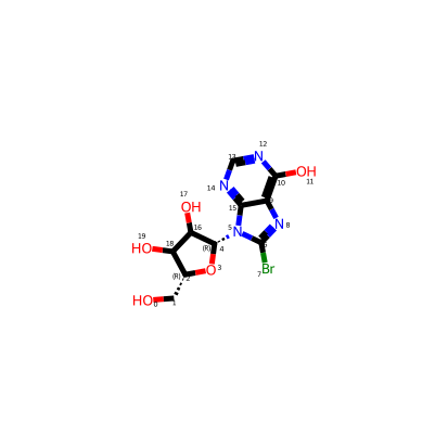 OC[C@H]1O[C@@H](n2c(Br)nc3c(O)ncnc32)C(O)C1O